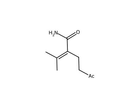 CC(=O)CCC(C(N)=O)=C(C)C